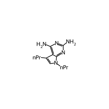 CCCc1cn(CCC)c2nc(N)nc(N)c12